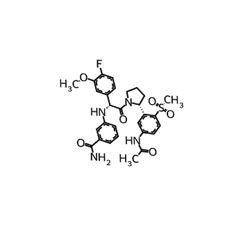 COc1cc([C@@H](Nc2cccc(C(N)=O)c2)C(=O)N2CCC[C@@H]2c2cc(NC(C)=O)ccc2S(C)(=O)=O)ccc1F